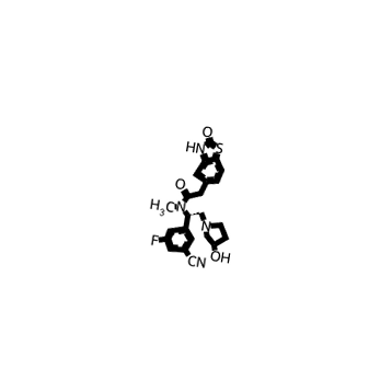 CN(C(=O)Cc1ccc2sc(=O)[nH]c2c1)[C@H](CN1CCC(O)C1)c1cc(F)cc(C#N)c1